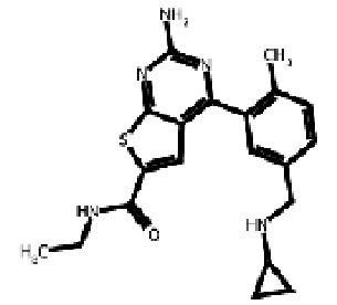 CCNC(=O)c1cc2c(-c3cc(CNC4CC4)ccc3C)nc(N)nc2s1